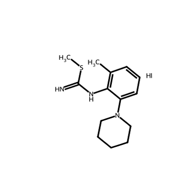 CSC(=N)Nc1c(C)cccc1N1CCCCC1.I